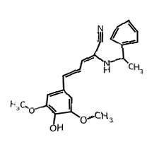 COc1cc(C=CC=C(C#N)NC(C)c2ccccc2)cc(OC)c1O